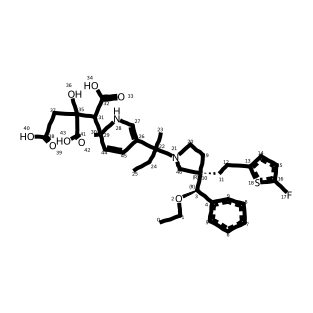 CCO[C@H](c1ccccc1)[C@]1(CCc2ccc(F)s2)CCN(C(C)(CC)C2=CNC(C)(C(C(=O)O)C(O)(CC(=O)O)C(=O)O)C=C2)C1